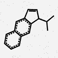 CC(C)[C]1C=Cc2cc3ccccc3cc21